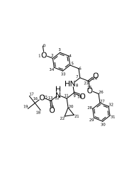 COc1ccc(CC(NC(=O)C(NC(=O)OC(C)(C)C)C2CC2)C(=O)OCc2ccccc2)cc1